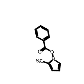 N#Cc1cccn1OC(=O)c1ccccc1